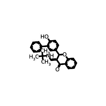 CC(C)(C)NC=C1C(=O)c2ccccc2OC1c1ccc(O)c(-c2ccccc2)c1